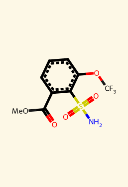 COC(=O)c1cccc(OC(F)(F)F)c1S(N)(=O)=O